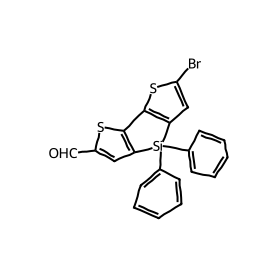 O=Cc1cc2c(s1)-c1sc(Br)cc1[Si]2(c1ccccc1)c1ccccc1